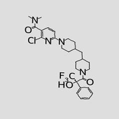 CN(C)C(=O)c1ccc(N2CCC(CC3CCN(C(=O)[C@@](O)(c4ccccc4)C(F)(F)F)CC3)CC2)nc1Cl